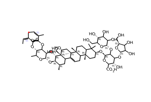 C/C=C(/C)C(=O)OC1C(O)[C@H](O[C@@H]2[C@H](C)CC3C4=CCC5[C@@]6(C)CC[C@H](O[C@@H]7OC(C(=O)O)[C@@H](O)C(O[C@@H]8O[C@@H](CO)C(O)C8O)C7O[C@@H]7OC(CO)[C@H](O)C(O)C7O)C(C)(C)C6CC[C@@]5(C)[C@]4(C)C[C@@H](O)[C@@]3(CO)[C@H]2O)OC(C)[C@@H]1OC(=O)/C(C)=C\C